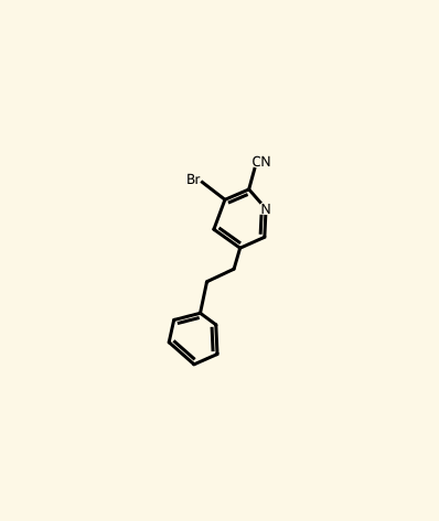 N#Cc1ncc(CCc2ccccc2)cc1Br